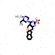 CS(=O)(=O)c1nc2c(c(N3CCN(C(=O)O)C(CC#N)C3)n1)COC1(Cc3ccccc3C1)C2